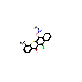 CCCCNOc1c2c(c(Cl)c3c(=O)c4cccc(C)c4sc13)C=CCC2